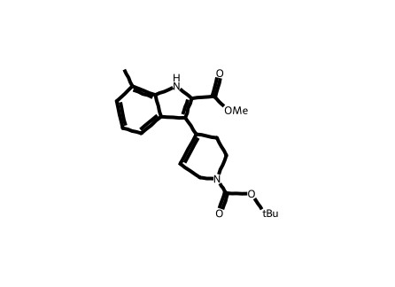 COC(=O)c1[nH]c2c(C)cccc2c1C1=CCN(C(=O)OC(C)(C)C)CC1